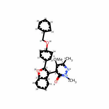 COc1c(C)nn(C)c(=O)c1-c1c(-c2ccc(OCc3ccccc3)cc2)oc2ccccc12